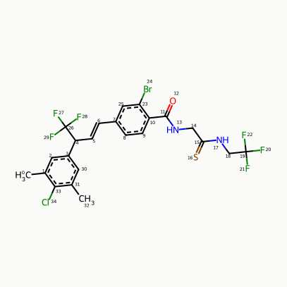 Cc1cc(C(/C=C/c2ccc(C(=O)NCC(=S)NCC(F)(F)F)c(Br)c2)C(F)(F)F)cc(C)c1Cl